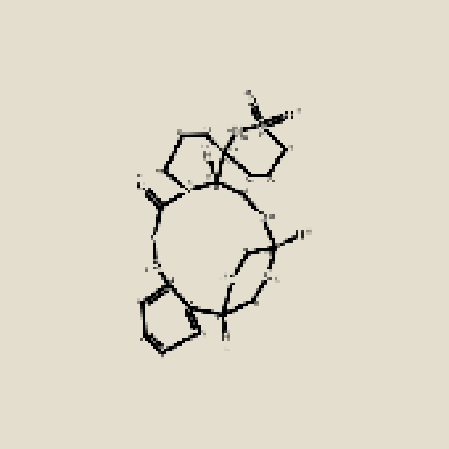 O=C1COc2ccccc2[C@H]2CC[C@H](CC2)OC[C@@H]2N1CCC[C@@]21CCCS(=O)(=O)N1